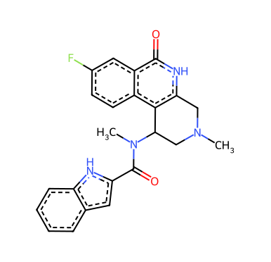 CN1Cc2[nH]c(=O)c3cc(F)ccc3c2C(N(C)C(=O)c2cc3ccccc3[nH]2)C1